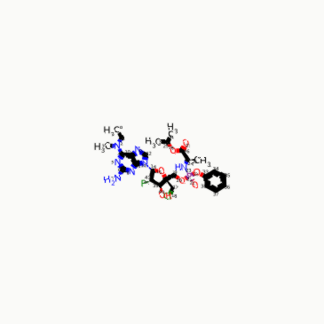 CCN(C)c1nc(N)nc2c1ncn2[C@@H]1O[C@](CCl)(CO[P@@](=O)(N[C@@H](C)C(=O)OC(C)C)Oc2ccccc2)[C@@H](O)[C@@H]1F